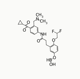 CN(C)Cc1cc(NC(=O)CCc2cc(OBO)ccc2OCC(F)F)ccc1S(=O)(=O)C1CC1